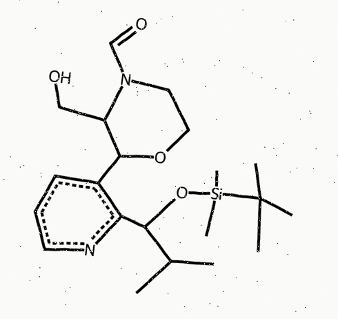 CC(C)C(O[Si](C)(C)C(C)(C)C)c1ncccc1C1OCCN(C=O)C1CO